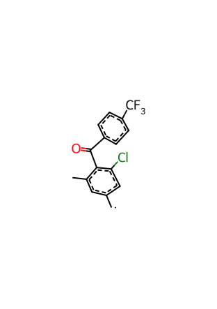 [CH2]c1cc(C)c(C(=O)c2ccc(C(F)(F)F)cc2)c(Cl)c1